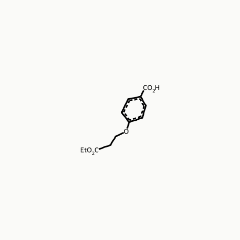 CCOC(=O)CCOc1ccc(C(=O)O)cc1